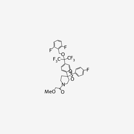 COCC(=O)N1CCC(c2ccc(C(OCc3c(F)cccc3F)(C(F)(F)F)C(F)(F)F)cc2)(S(=O)(=O)c2ccc(F)cc2)CC1